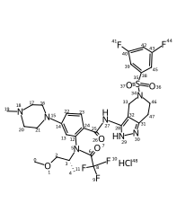 COC[C@@H](C)N(C(=O)C(F)(F)F)c1cc(N2CCN(C)CC2)ccc1C(=O)Nc1[nH]nc2c1CN(S(=O)(=O)c1cc(F)cc(F)c1)CC2.Cl